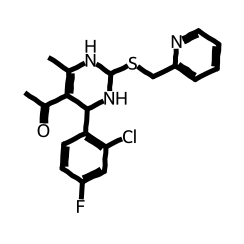 CC(=O)C1=C(C)NC(SCc2ccccn2)NC1c1ccc(F)cc1Cl